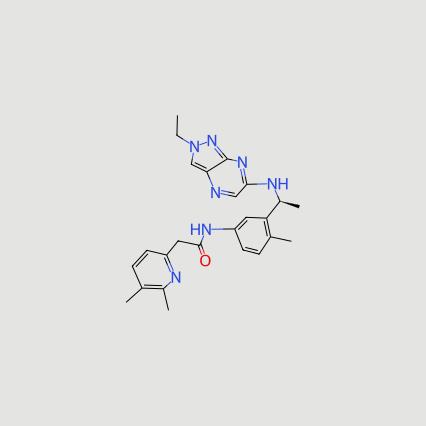 CCn1cc2ncc(N[C@@H](C)c3cc(NC(=O)Cc4ccc(C)c(C)n4)ccc3C)nc2n1